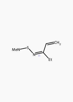 C=C/C(CC)=N\SNC